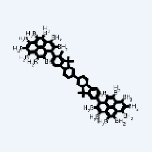 Bc1c(B)c2c(B)c(B)c3c(B)c(B)c(-c4ccc5c(c4)C(C)(C)c4cc(-c6ccc7c(c6)C(C)(C)c6c-7ccc(-c7c(B)c(B)c8c(B)c(B)c9c(B)c(B)c(B)c%10c(B)c(B)c7c8c9%10)c6C)ccc4-5)c4c(B)c(B)c(c1B)c2c34